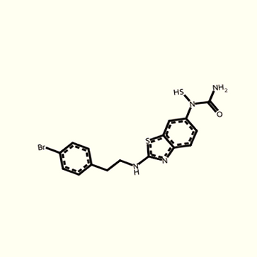 NC(=O)N(S)c1ccc2nc(NCCc3ccc(Br)cc3)sc2c1